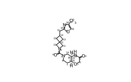 O=C1CO[C@H]2CCN(C(=O)N3CC4(CC(Cc5nc(C(F)(F)F)co5)C4)C3)C[C@H]2N1